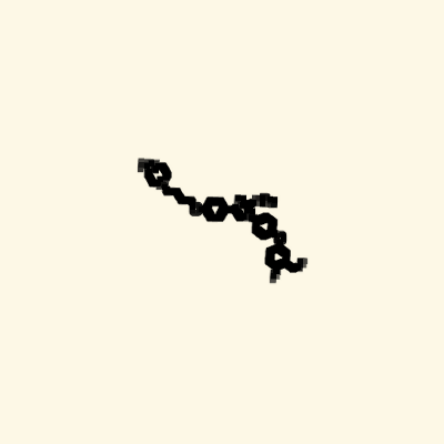 CCCCc1nc(-c2ccc(OCCCCN3CCNCC3)cc2)cn1-c1ccc(Oc2ccc(F)c(CF)c2)cc1